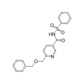 O=C(NS(=O)(=O)c1ccccc1)c1ccc(COCc2ccccc2)nc1